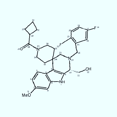 COc1ccc2c3c([nH]c2c1)[C@@H](CO)N(Cc1cc(F)ccc1F)CC31CCN(C(=O)C2CCC2)CC1